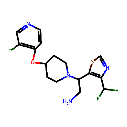 NCC(c1scnc1C(F)F)N1CCC(Oc2ccncc2F)CC1